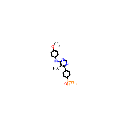 Cc1c(Nc2ccc(OC(F)(F)F)cc2)ncnc1-c1ccc([PH](=O)P)cc1